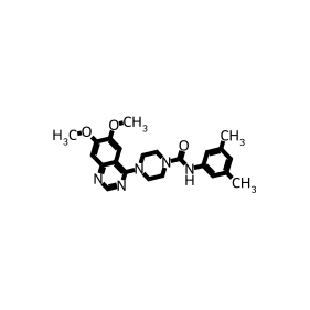 COc1cc2ncnc(N3CCN(C(=O)Nc4cc(C)cc(C)c4)CC3)c2cc1OC